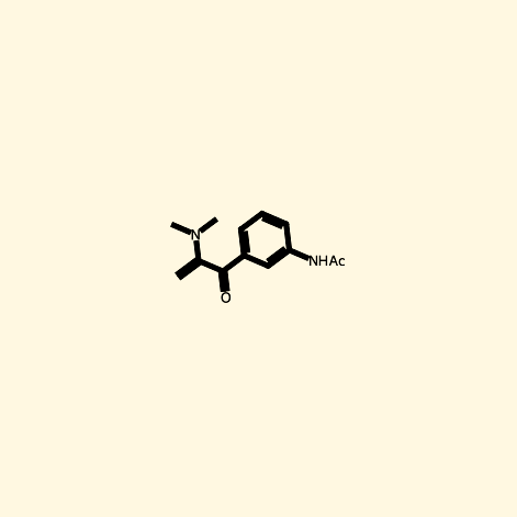 C=C(C(=O)c1cccc(NC(C)=O)c1)N(C)C